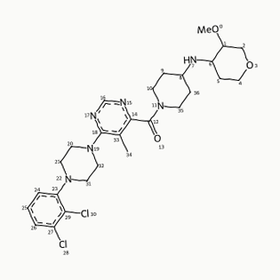 COC1COCCC1NC1CCN(C(=O)c2ncnc(N3CCN(c4cccc(Cl)c4Cl)CC3)c2C)CC1